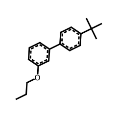 CCCOc1cccc(-c2ccc(C(C)(C)C)cc2)c1